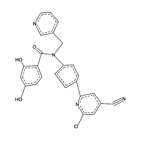 N#Cc1cc(Cl)nc(-c2ccc(N(Cc3cccnc3)C(=O)c3ccc(O)cc3O)cc2)c1